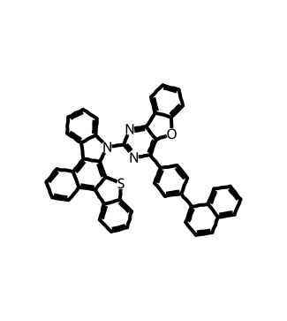 c1ccc2c(-c3ccc(-c4nc(-n5c6ccccc6c6c7ccccc7c7c8ccccc8sc7c65)nc5c4oc4ccccc45)cc3)cccc2c1